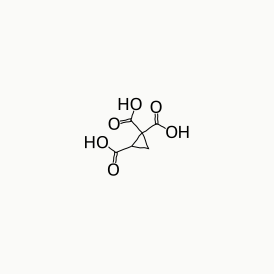 O=C(O)C1CC1(C(=O)O)C(=O)O